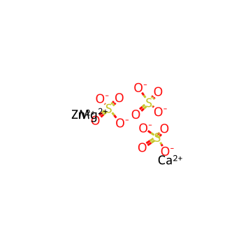 O=S(=O)([O-])[O-].O=S(=O)([O-])[O-].O=S(=O)([O-])[O-].[Ca+2].[Mg+2].[Zn+2]